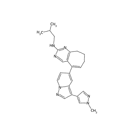 CC(C)CNc1ncc2c(n1)CCCC=C2c1ccn2ncc(-c3cnn(C)c3)c2c1